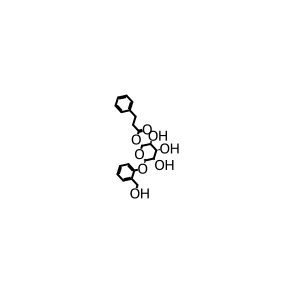 O=C(CCc1ccccc1)O[C@H]1O[C@@H](Oc2ccccc2CO)[C@H](O)[C@@H](O)[C@@H]1O